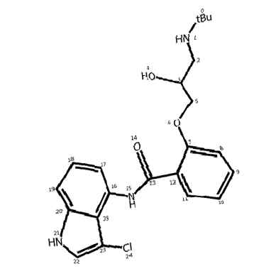 CC(C)(C)NCC(O)COc1ccccc1C(=O)Nc1cccc2[nH]cc(Cl)c12